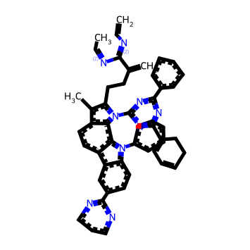 C=C/N=C(\N=C/C)C(=C)CCc1c(C)c2ccc3c4cc(-c5ncccn5)ccc4n(-c4ccccc4)c3c2n1-c1nc(C2=CC=CCC2)nc(-c2ccccc2)n1